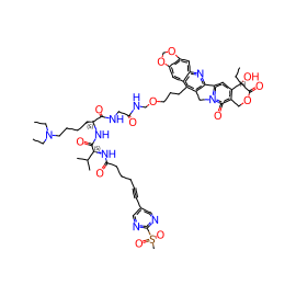 CCN(CC)CCCC[C@H](NC(=O)[C@@H](NC(=O)CCCC#Cc1cnc(S(C)(=O)=O)nc1)C(C)C)C(=O)NCC(=O)NCOCCCc1c2c(nc3cc4c(cc13)OCO4)-c1cc3c(c(=O)n1C2)COC(=O)[C@]3(O)CC